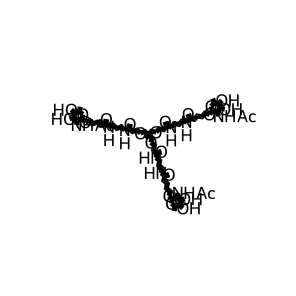 CC(=O)NC1C(OCCCCC(=O)NCCCNC(=O)CCOCC(C)(COCCC(=O)NCCCNC(=O)CCCCOC2OC(C)C(O)C(O)C2NC(C)=O)COCCC(=O)NCCCNC(=O)CCCCOC2OC(C)C(O)C(O)C2NC(C)=O)OC(C)C(O)C1O